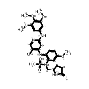 COc1ccc(Nc2nc(Nc3cc(OC)c(OC)c(OC)c3)ncc2Cl)c(N(C[C@H]2CCC(=O)N2)S(C)(=O)=O)c1